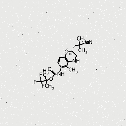 Cc1c(NC(=O)OC(C)(C)C(F)(F)F)ccc2c1NC[C@@H](CC(C)(C)C#N)O2